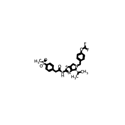 CC(C)[C@@H]1c2nc(NC(=O)Cc3ccc(S(C)(=O)=O)cc3)sc2CN1Cc1ccc(OC(F)F)cc1